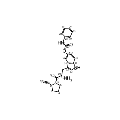 N#CC1CCCN1C(=O)[C@@H](N)Cc1c[nH]c2ccc(OC(=O)Nc3ccccc3)cc12